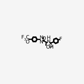 O=C(NC(CO)c1nc(-c2ccc(C(=O)C(F)(F)F)cc2)no1)c1ccc(F)cc1